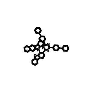 c1ccc(-c2ccc(-c3nc(-c4ccc(-c5ccccc5)cc4)nc(-c4ccc5c(oc6ccccc65)c4-n4c5ccccc5c5cc6ccccc6cc54)n3)cc2)cc1